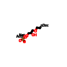 CC(=O)OS(=O)(=O)[O-].CCCCCCCCCCCCOCC(O)CO.[Na+]